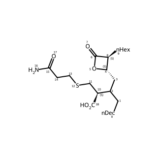 CCCCCCCCCCCC(C[C@@H]1OC(=O)[C@H]1CCCCCC)[C@H](CSCCC(N)=O)C(=O)O